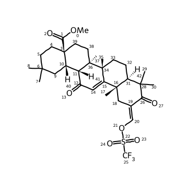 COC(=O)[C@]12CCC(C)(C)C[C@H]1[C@H]1C(=O)C=C3[C@@]4(C)C/C(=C\OS(=O)(=O)C(F)(F)F)C(=O)C(C)(C)[C@@H]4CC[C@@]3(C)[C@]1(C)CC2